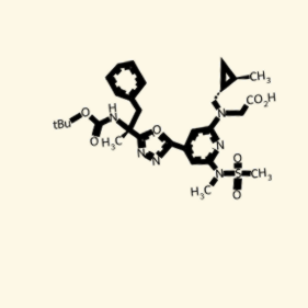 C[C@@H]1C[C@H]1CN(CC(=O)O)c1cc(-c2nnc([C@@](C)(Cc3ccccc3)NC(=O)OC(C)(C)C)o2)cc(N(C)S(C)(=O)=O)n1